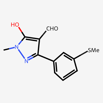 CSc1cccc(-c2nn(C)c(O)c2C=O)c1